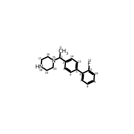 CC(c1ccc(-c2ccccc2F)cc1)N1CCNCC1